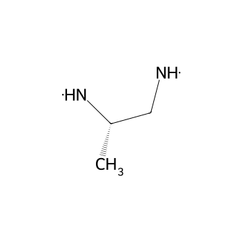 C[C@H]([NH])C[NH]